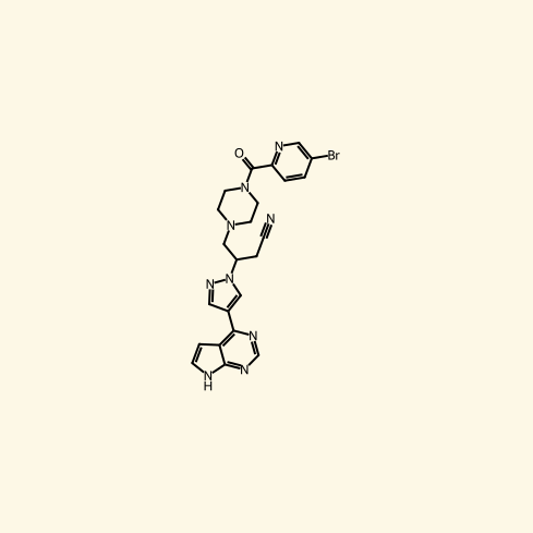 N#CCC(CN1CCN(C(=O)c2ccc(Br)cn2)CC1)n1cc(-c2ncnc3[nH]ccc23)cn1